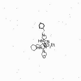 CCOC(=O)/N=C(\NC(CC1CCCCC1)C(=O)NC1(C#N)CCN(CCc2ccccc2)C1)N1CCOCC1